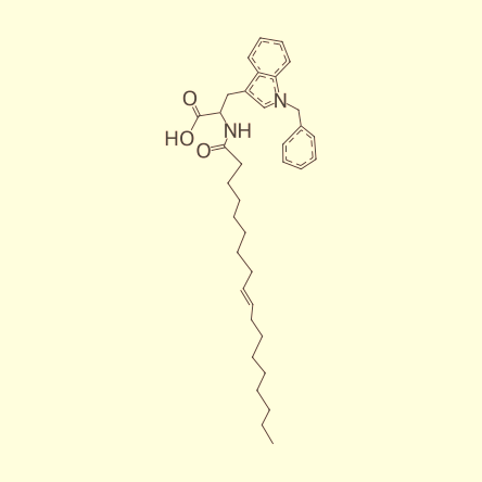 CCCCCCCCC=CCCCCCCCC(=O)NC(Cc1cn(Cc2ccccc2)c2ccccc12)C(=O)O